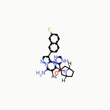 CC(=O)c1c([C@@H]2C[C@H]3CC[C@@H](C2)N3C(=O)c2nnc[nH]2)nc2c(-c3ccc4ccc(F)cc4c3)cnn2c1N